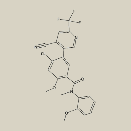 COc1cc(Cl)c(-c2cnc(C(F)(F)F)cc2C#N)cc1C(=O)N(C)c1ccccc1OC